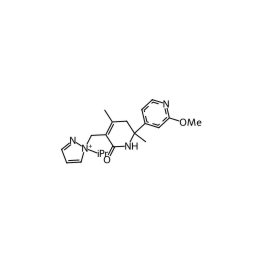 COc1cc(C2(C)CC(C)=C(C[N+]3(C(C)C)C=CC=N3)C(=O)N2)ccn1